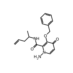 C=CCC(C)NC(=O)c1c(OCc2ccccc2)c(=O)ccn1N